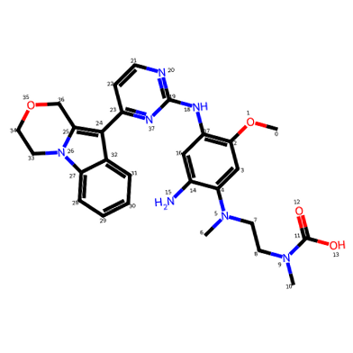 COc1cc(N(C)CCN(C)C(=O)O)c(N)cc1Nc1nccc(-c2c3n(c4ccccc24)CCOC3)n1